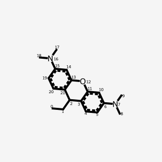 CCC1c2ccc(N(C)C)cc2Oc2cc(N(C)C)ccc21